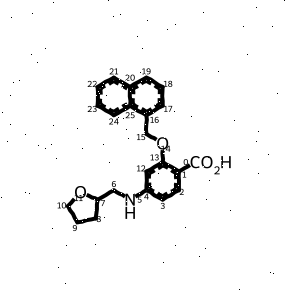 O=C(O)c1ccc(NCC2CCCO2)cc1OCc1cccc2ccccc12